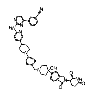 N#Cc1cccc(-c2ccnc(Nc3ccc(C4CCN(c5ccc(CN6CCC(O)(c7ccc8c(c7)CN(C7CCC(=O)NC7=O)C8=O)CC6)cc5)CC4)cn3)n2)c1